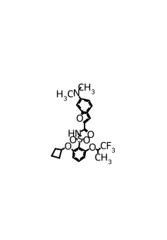 CC(Oc1cccc(OC2CCC2)c1S(=O)(=O)NC(=O)c1cc2ccc(N(C)C)cc2o1)C(F)(F)F